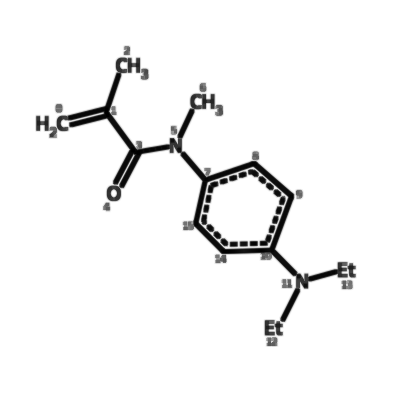 C=C(C)C(=O)N(C)c1ccc(N(CC)CC)cc1